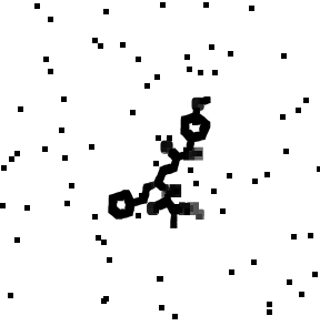 COc1ccc(NC(=O)C=C[C@H](CCc2ccccc2)NC(=O)[C@H](C)N)cc1